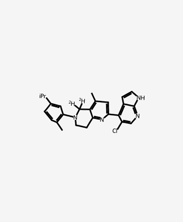 [2H]C1([2H])c2c(C)cc(-c3c(Cl)cnc4[nH]ccc34)nc2CCN1c1cc(C(C)C)ccc1C